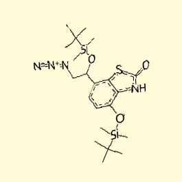 CC(C)(C)[Si](C)(C)Oc1ccc(C(CN=[N+]=[N-])O[Si](C)(C)C(C)(C)C)c2sc(=O)[nH]c12